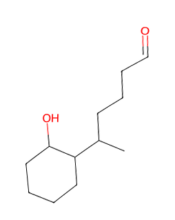 CC(CCCC=O)C1CCCCC1O